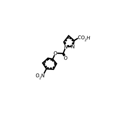 O=C(O)c1ccn(C(=O)Oc2ccc([N+](=O)[O-])cc2)n1